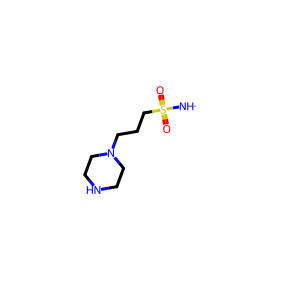 [NH]S(=O)(=O)CCCN1CCNCC1